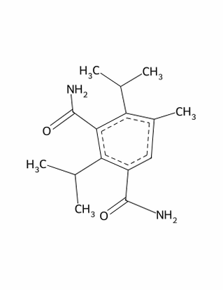 Cc1cc(C(N)=O)c(C(C)C)c(C(N)=O)c1C(C)C